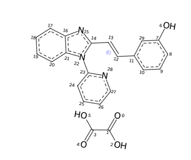 O=C(O)C(=O)O.Oc1cccc(/C=C/c2nc3ccccc3n2-c2ccccn2)c1